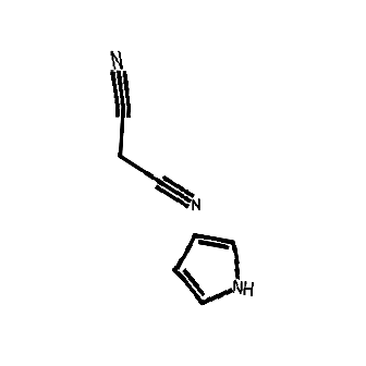 N#CCC#N.c1cc[nH]c1